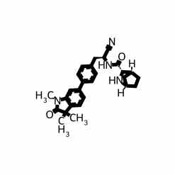 CN1C(=O)C(C)(C)c2ccc(-c3ccc(C[C@@H](C#N)NC(=O)[C@H]4N[C@@H]5CC[C@H]4C5)cc3)cc21